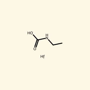 CCNC(=O)O.[Hf]